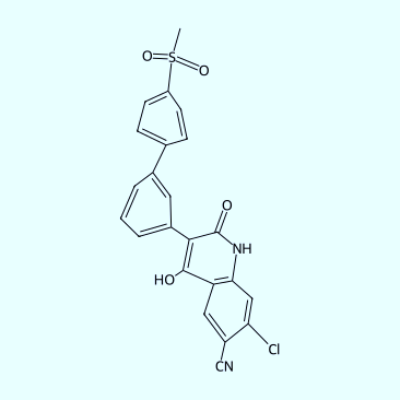 CS(=O)(=O)c1ccc(-c2cccc(-c3c(O)c4cc(C#N)c(Cl)cc4[nH]c3=O)c2)cc1